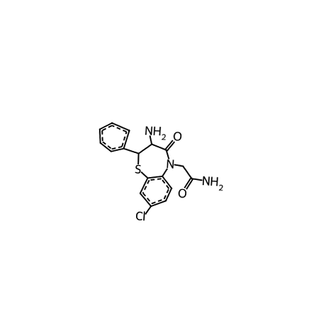 NC(=O)CN1C(=O)C(N)C(c2ccccc2)Sc2cc(Cl)ccc21